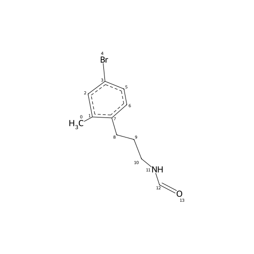 Cc1cc(Br)ccc1CCCNC=O